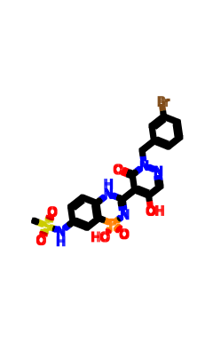 CS(=O)(=O)Nc1ccc2c(c1)P(=O)(O)N=C(c1c(O)cnn(Cc3cccc(Br)c3)c1=O)N2